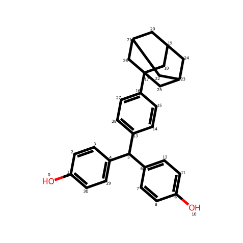 Oc1ccc(C(c2ccc(O)cc2)c2ccc(C34CC5CC(CC(C5)C3)C4)cc2)cc1